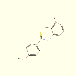 COc1ccc(C(=S)Nc2cccc(C)c2C)cc1